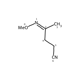 CON=C(C)CCC#N